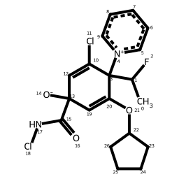 CC(F)C1([n+]2ccccc2)C(Cl)=CC([O-])(C(=O)NCl)C=C1OC1CCCC1